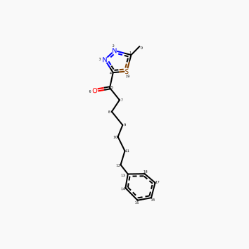 Cc1nnc(C(=O)CCCCCCc2ccccc2)s1